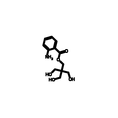 Nc1ccccc1C(=O)OCC(CO)(CO)CO